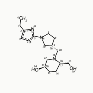 CCc1csc(N2CC[C@H](CN3C[C@H](O)CC[C@@H]3CO)C2)n1